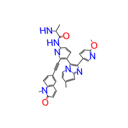 CNC(C)C(=O)Nc1ccc(-c2c(-c3ccc(OC)nc3)nc3cc(C)ccn23)c(C#Cc2ccc3c(ccc(=O)n3C)c2)n1